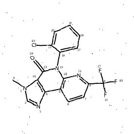 Cn1cnc2c3ccc(C(F)(F)F)nc3n(-c3ccccc3Cl)c(=O)c21